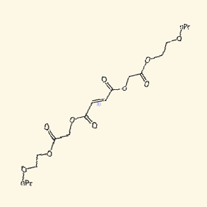 CCCOCCOC(=O)COC(=O)/C=C/C(=O)OCC(=O)OCCOCCC